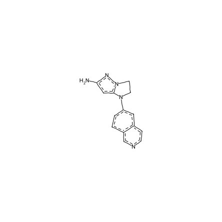 Nc1cc2n(n1)CCN2c1ccc2cnccc2c1